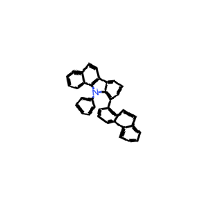 c1ccc(-n2c3c(-c4cccc5c4ccc4ccccc45)cccc3c3ccc4ccccc4c32)cc1